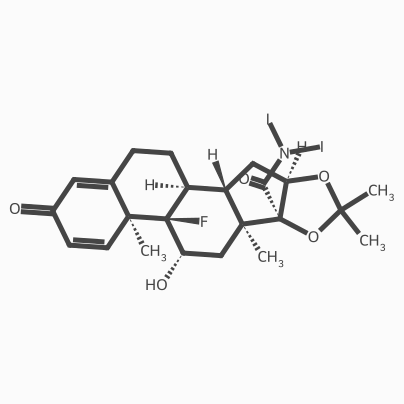 CC1(C)O[C@@H]2C[C@H]3[C@@H]4CCC5=CC(=O)C=C[C@]5(C)[C@@]4(F)[C@@H](O)C[C@]3(C)[C@]2(C(=O)N(I)I)O1